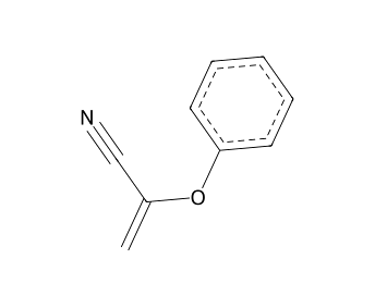 C=C(C#N)Oc1ccccc1